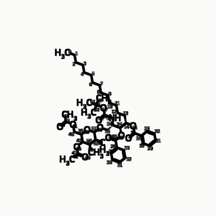 CCCCCCCCCCCCCC[C@@H](OC(=O)c1ccccc1)[C@@H](OC(=O)c1ccccc1)[C@H](COC1OC(COC(C)=O)C(OC(C)=O)C(C)C1C)NC(=O)OC(C)(C)C